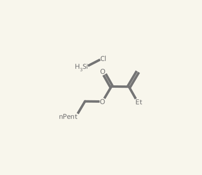 C=C(CC)C(=O)OCCCCCC.[SiH3]Cl